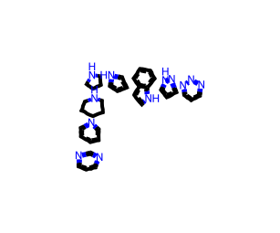 C1CCNC1.C1CCNCC1.c1cc[nH]c1.c1ccc2[nH]ccc2c1.c1ccncc1.c1cn[nH]c1.c1cncnc1.c1cnnnc1